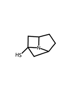 SC12CC3CCC(C1)N32